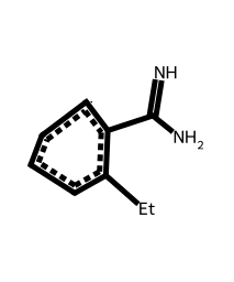 CCc1ccc[c]c1C(=N)N